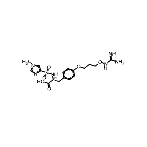 Cn1cnc(S(=O)(=O)N[C@@H](Cc2ccc(OCCCONC(=N)N)cc2)C(=O)O)c1